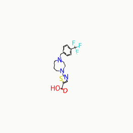 O=C(O)c1cnc(N2CCCN(Cc3ccc(C(F)(F)F)cc3)CC2)s1